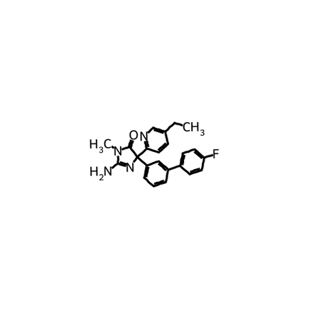 CCc1ccc(C2(c3cccc(-c4ccc(F)cc4)c3)N=C(N)N(C)C2=O)nc1